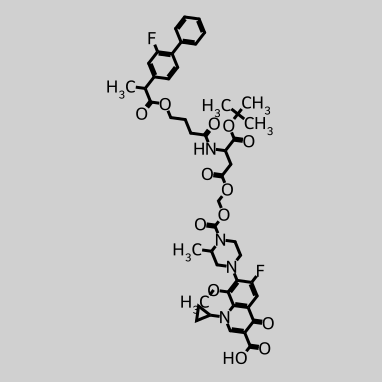 COc1c(N2CCN(C(=O)OCOC(=O)CC(NC(=O)CCCOC(=O)C(C)c3ccc(-c4ccccc4)c(F)c3)C(=O)OC(C)(C)C)C(C)C2)c(F)cc2c(=O)c(C(=O)O)cn(C3CC3)c12